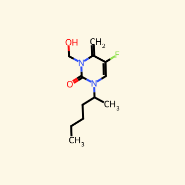 C=C1C(F)=CN(C(C)CCCC)C(=O)N1CO